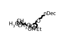 CCCCCCCCCCCCCCOCC(COP(O)OCCCC[N+](C)(C)C)CC(=O)CC